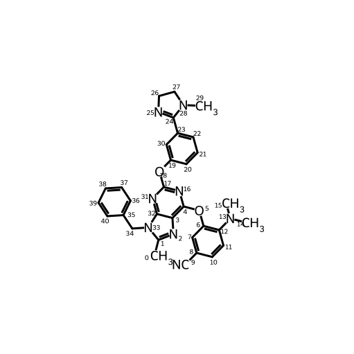 Cc1nc2c(Oc3cc(C#N)ccc3N(C)C)nc(Oc3cccc(C4=NCCN4C)c3)nc2n1Cc1ccccc1